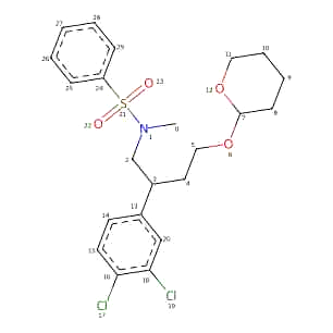 CN(CC(CCOC1CCCCO1)c1ccc(Cl)c(Cl)c1)S(=O)(=O)c1ccccc1